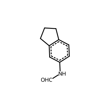 O=CNc1ccc2c(c1)CCC2